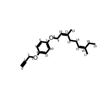 C#CCOc1ccc(OCC=C(C)CCC=C(C)CC)cc1